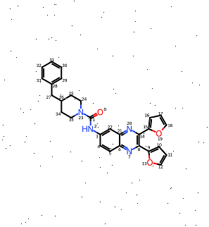 O=C(Nc1ccc2nc(-c3ccco3)c(-c3ccco3)nc2c1)N1CCC(Cc2ccccc2)CC1